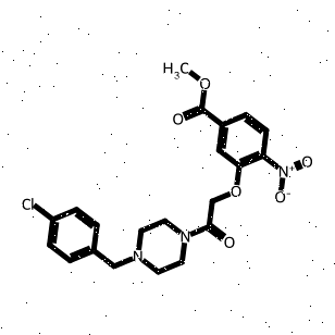 COC(=O)c1ccc([N+](=O)[O-])c(OCC(=O)N2CCN(Cc3ccc(Cl)cc3)CC2)c1